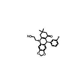 CC1(C)CC(=O)C2=C(C1)N(CCO)c1cc3c(cc1C2c1cccc(F)c1)OCO3